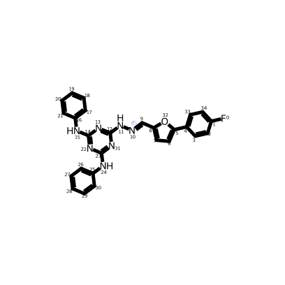 Fc1ccc(-c2ccc(/C=N/Nc3nc(Nc4ccccc4)nc(Nc4ccccc4)n3)o2)cc1